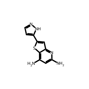 Nc1cc(N)c2sc(-c3ccn[nH]3)cc2n1